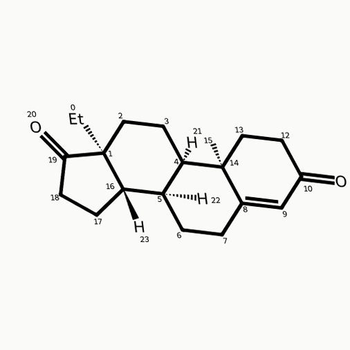 CC[C@]12CC[C@@H]3[C@@H](CCC4=CC(=O)CC[C@@]43C)[C@@H]1CCC2=O